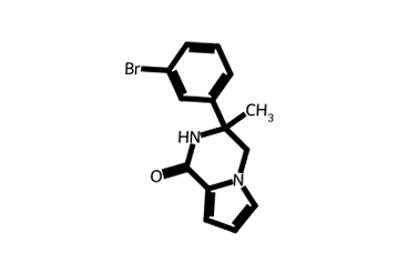 CC1(c2cccc(Br)c2)Cn2cccc2C(=O)N1